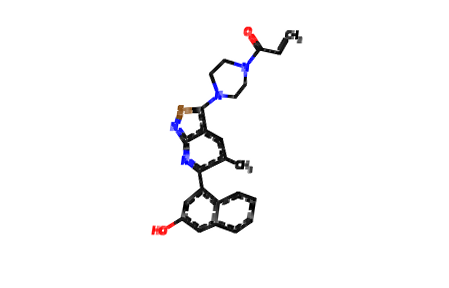 C=CC(=O)N1CCN(c2snc3nc(-c4cc(O)cc5ccccc45)c(C)cc23)CC1